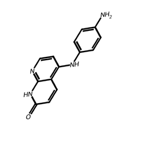 Nc1ccc(Nc2ccnc3[nH]c(=O)ccc23)cc1